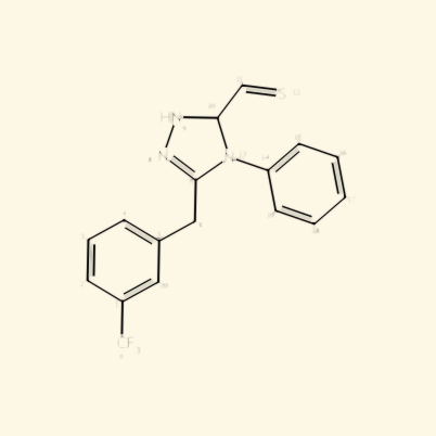 FC(F)(F)c1cccc(CC2=NNC(C=S)N2c2ccccc2)c1